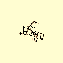 C=C[C@H]1C[C@@H](c2ncc(I)[nH]2)N(C(=O)OC(C)(C)C)C1